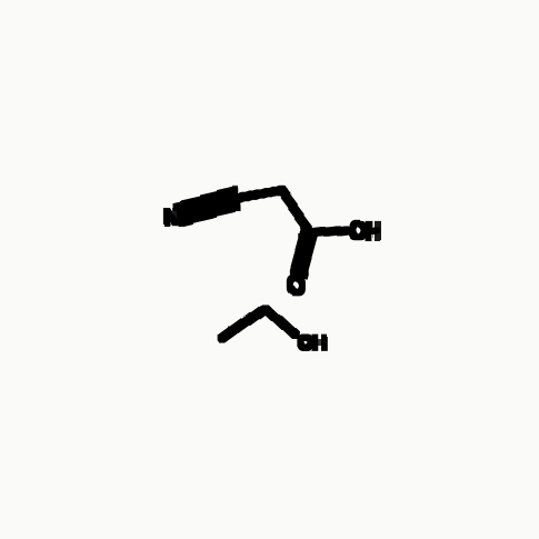 CCO.N#CCC(=O)O